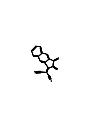 C=C1C(=O)c2cc3ccccc3cc2C1=C(C#N)C#N